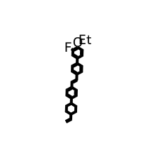 C=CC1CCC(c2ccc(/C=C/c3ccc(-c4ccc(OCC)c(F)c4)cc3)cc2)CC1